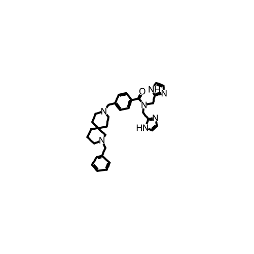 O=C(c1ccc(CN2CCC3(CCCN(Cc4ccccc4)C3)CC2)cc1)N(Cc1ncc[nH]1)Cc1ncc[nH]1